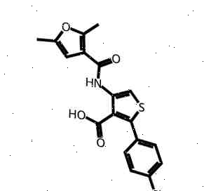 Cc1cc(C(=O)Nc2csc(-c3ccc(Cl)cc3)c2C(=O)O)c(C)o1